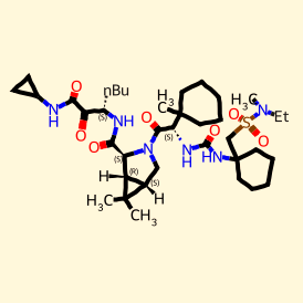 CCCC[C@H](NC(=O)[C@@H]1[C@@H]2[C@H](CN1C(=O)[C@@H](NC(=O)NC1(CS(=O)(=O)N(C)CC)CCCCC1)C1(C)CCCCC1)C2(C)C)C(=O)C(=O)NC1CC1